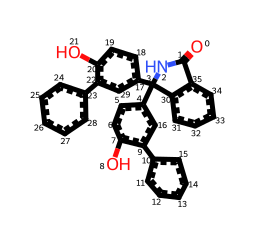 O=C1NC(c2ccc(O)c(-c3ccccc3)c2)(c2ccc(O)c(-c3ccccc3)c2)c2ccccc21